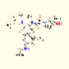 CCC1CCC(C)N1C(=O)c1nc(C(=O)NCC(C)(C)O)sc1-c1cnc(NCC(C)(C)C)cc1C(F)(F)F